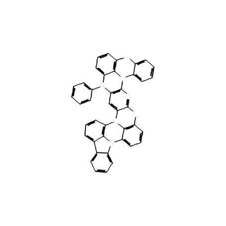 c1ccc(N2c3cc4c(nc3B3c5ccccc5Oc5cccc2c53)Oc2cccc3c2B4c2cccc4c5ccccc5n-3c24)cc1